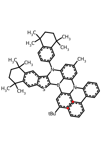 Cc1cc2c3c(c1)N(c1ccc4c(c1)C(C)(C)CCC4(C)C)c1c(sc4cc5c(cc14)C(C)(C)CCC5(C)C)B3c1cc(C(C)(C)C)ccc1N2c1ccccc1-c1ccccc1